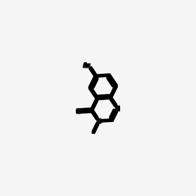 CC(=O)c1ccc2ncn(C)c(=O)c2c1